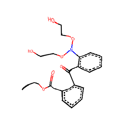 CCOC(=O)c1ccccc1C(=O)c1ccccc1N(OCCO)OCCO